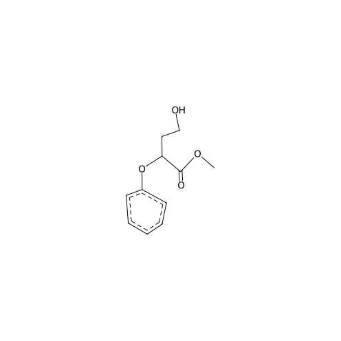 COC(=O)C(CCO)Oc1ccccc1